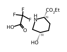 CCOC(=O)[C@@H]1CC[C@H](O)CN1.O=C(O)C(F)(F)F